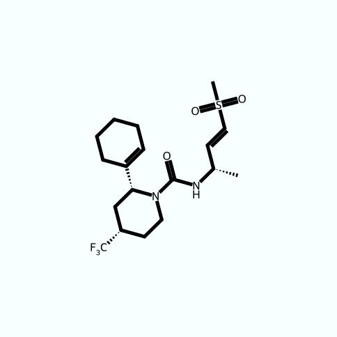 C[C@@H](/C=C/S(C)(=O)=O)NC(=O)N1CC[C@H](C(F)(F)F)C[C@@H]1C1=CCCCC1